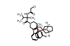 Cc1nc2ccccc2n1C1C[C@H]2CC[C@@H](C1)N2CCC1(c2cccc(F)c2)CCN(C(=O)C(C)(NC(=O)CCl)C(C)C)CC1